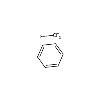 FC(F)(F)F.c1ccccc1